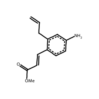 C=CCc1cc(N)ccc1C=CC(=O)OC